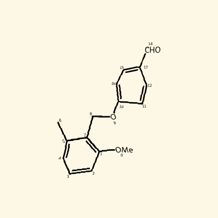 COc1cccc(C)c1COc1ccc(C=O)cc1